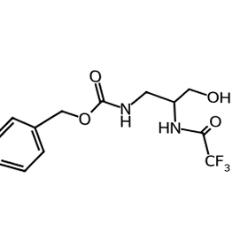 O=C(NCC(CO)NC(=O)C(F)(F)F)OCc1ccccc1